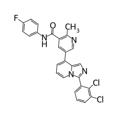 Cc1ncc(-c2cccn3c(-c4cccc(Cl)c4Cl)ncc23)cc1C(=O)Nc1ccc(F)cc1